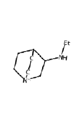 CCNC1C[N+]2CCC1CC2